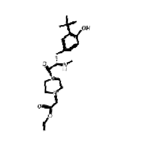 CCOC(=O)CN1CCN(C(=O)[C@H](Cc2ccc(O)c(C(C)(C)C)c2)NC)CC1